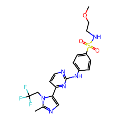 COCCNS(=O)(=O)c1ccc(Nc2nccc(-c3cnc(C)n3CC(F)(F)F)n2)cc1